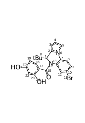 CC(C)(C)C1c2cccn2-c2ccc(Br)cc2N1C(=O)c1ccc(O)cc1O